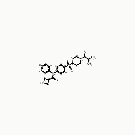 CC(C)C(=O)N1CCC(S(=O)(=O)c2ccc(N(C(=O)C3CNC3)c3ccnnc3)cc2)CC1